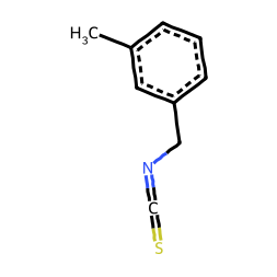 Cc1cccc(CN=C=S)c1